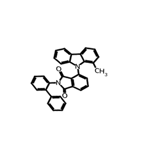 Cc1cccc2c3ccccc3n(-c3cccc4c3C(=O)N(c3ccccc3-c3ccccc3)C4=O)c12